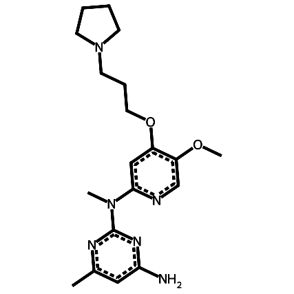 COc1cnc(N(C)c2nc(C)cc(N)n2)cc1OCCCN1CCCC1